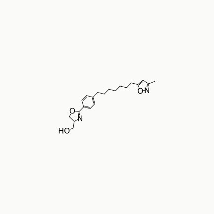 Cc1cc(CCCCCCCc2ccc(C3=NC(CO)CO3)cc2)on1